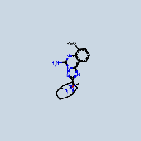 COc1cccc2c1nc(N)n1nc(CN3C4CCC3C3CCC4N3C)nc21